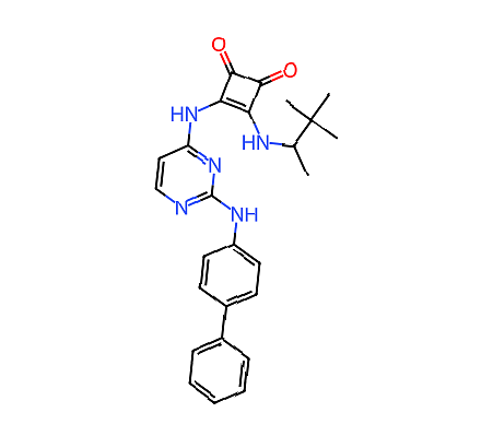 CC(Nc1c(Nc2ccnc(Nc3ccc(-c4ccccc4)cc3)n2)c(=O)c1=O)C(C)(C)C